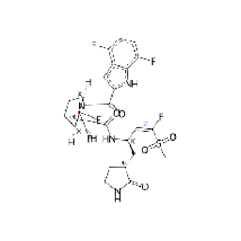 CS(=O)(=O)/C(F)=C\[C@@H](C[C@H]1CCNC1=O)NC(=O)[C@H]1[C@H]2CC[C@H](CC2(F)F)N1C(=O)c1cc2c(F)ccc(F)c2[nH]1